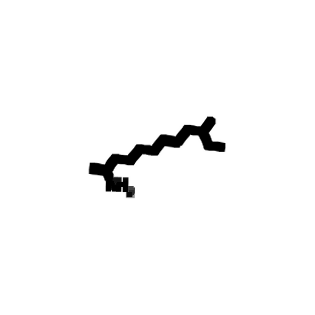 C=C(N)CCCC/C=C/CC(C)CC